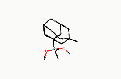 CO[Si](C)(OC)C12CC3CC(CC(C)(C3)C1)C2